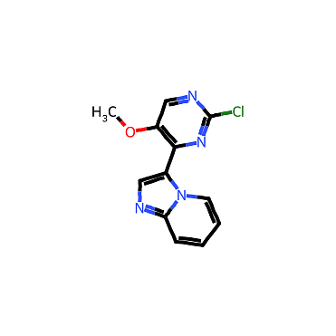 COc1cnc(Cl)nc1-c1cnc2ccccn12